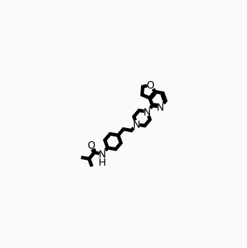 CC(C)C(=O)NC1CCC(CCN2CCN(c3nccc4c3CCO4)CC2)CC1